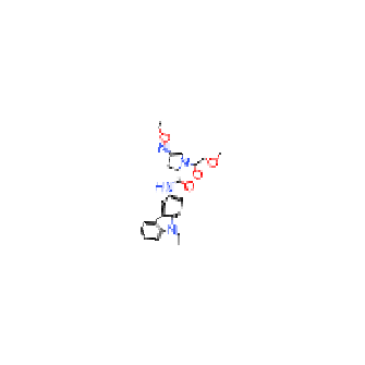 CCON=C1C[C@@H](C(=O)Nc2ccc3c(c2)c2ccccc2n3CC)N(C(=O)COC)C1